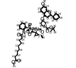 C=C[C@@H]1C[C@]1(NC(=O)[C@@H]1C[C@@H](Oc2cc(-c3ccccc3)nc3cc(OC)ccc23)CN1C(=O)OC(C)(C)C)C(=O)NS(=O)(=O)c1ccccc1NC(=O)CCCCCCCCC(=O)OC